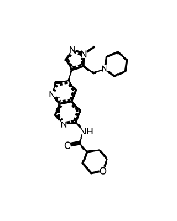 Cn1ncc(-c2cnc3cnc(NC(=O)C4CCOCC4)cc3c2)c1CN1CCCCC1